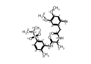 COc1cc(Br)c(CC(=O)NC(C)C(=O)Nc2cc(S(=O)(=O)N(C)C)ccc2C)cc1OC